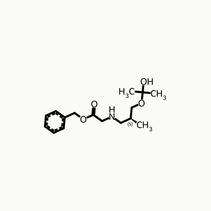 C[C@@H](CNCC(=O)OCc1ccccc1)COC(C)(C)O